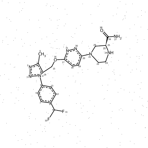 Cc1nnn(-c2ccc(C(F)F)cc2)c1COc1ccc(N2CCN[C@H](C(N)=O)C2)nn1